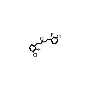 O=C(CCc1cccc(Cl)c1F)CCc1cccc(Cl)c1F